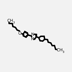 CCCCCCCOc1ccc(-c2ncc(C3CCC(CCCCCCC)CC3)cn2)cc1